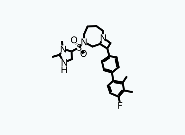 Cc1c(F)ccc(-c2ccc(C3CN4CCCCN(S(=O)(=O)C5CNC(C)N5C)CC34)cc2)c1C